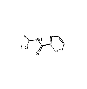 CC(O)NC(=S)c1ccccc1